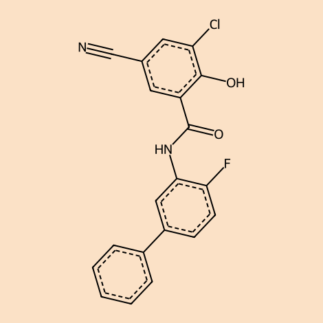 N#Cc1cc(Cl)c(O)c(C(=O)Nc2cc(-c3ccccc3)ccc2F)c1